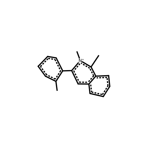 Cc1ccccc1-c1cc2ccccc2c(C)[n+]1C